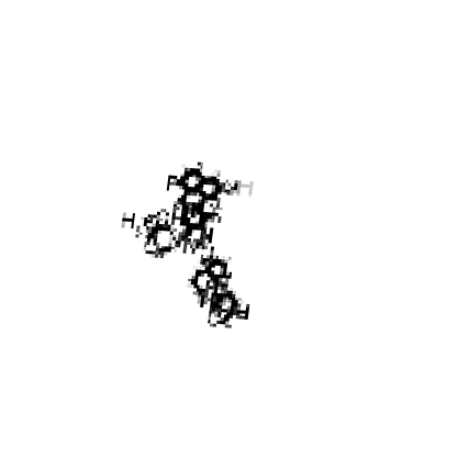 C#Cc1c(F)ccc2cc(O)cc(-c3ncc4c(N5CCOC[C@@](C)(O)C5)nc(OC[C@]56CCC[C@H]5N(C5CC[C@H]7CO[C@@H]5O7)CCC6)nc4c3F)c12